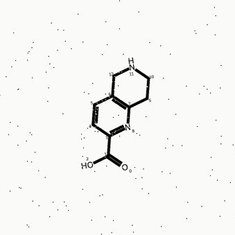 O=C(O)c1ccc2c(n1)CCNC2